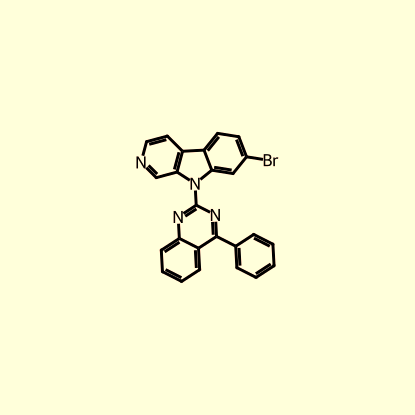 Brc1ccc2c3ccncc3n(-c3nc(-c4ccccc4)c4ccccc4n3)c2c1